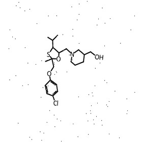 CC(C)C1SC(C)(COc2ccc(Cl)cc2)OC1CN1CCCC(CO)C1